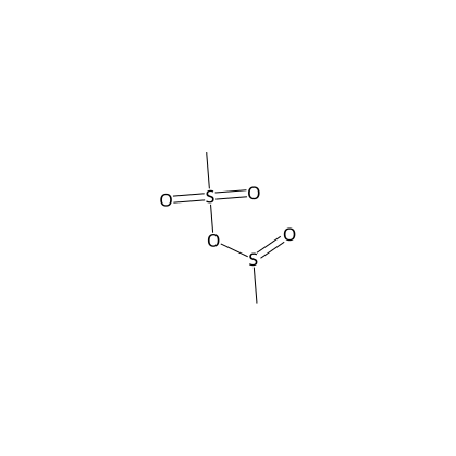 CS(=O)OS(C)(=O)=O